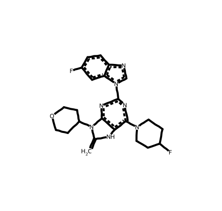 C=C1Nc2c(N3CCC(F)CC3)nc(-n3cnc4ccc(F)cc43)nc2N1C1CCOCC1